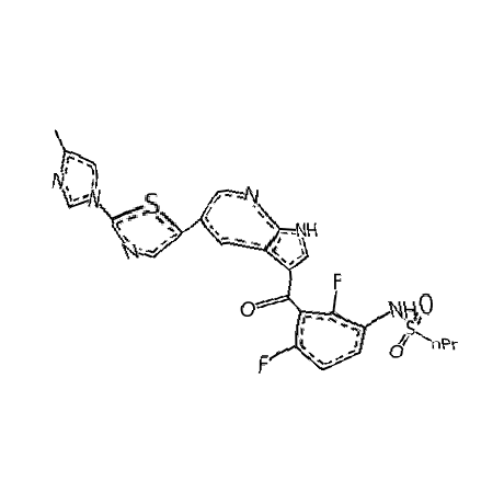 CCCS(=O)(=O)Nc1ccc(F)c(C(=O)c2c[nH]c3ncc(-c4cnc(-n5cnc(C)c5)s4)cc23)c1F